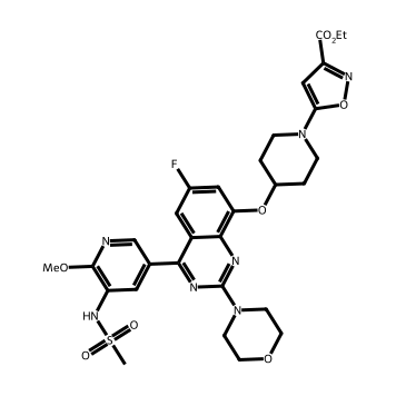 CCOC(=O)c1cc(N2CCC(Oc3cc(F)cc4c(-c5cnc(OC)c(NS(C)(=O)=O)c5)nc(N5CCOCC5)nc34)CC2)on1